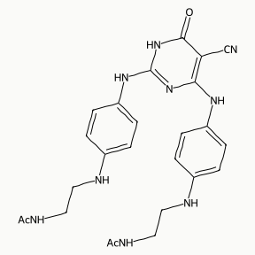 CC(=O)NCCNc1ccc(Nc2nc(Nc3ccc(NCCNC(C)=O)cc3)c(C#N)c(=O)[nH]2)cc1